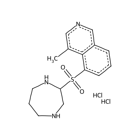 Cc1cncc2cccc(S(=O)(=O)C3CNCCCN3)c12.Cl.Cl